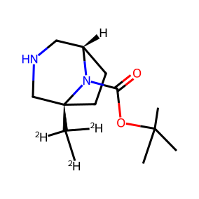 [2H]C([2H])([2H])[C@@]12CC[C@@H](CNC1)N2C(=O)OC(C)(C)C